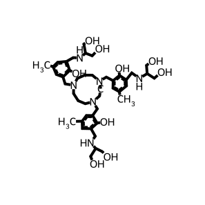 Cc1cc(CNC(CO)CO)c(O)c(CN2CCCN(Cc3cc(C)cc(CNC(CO)CO)c3O)CCN(Cc3cc(C)cc(CNC(CO)CO)c3O)CCC2)c1